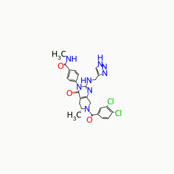 CNC(=O)c1ccc(-n2c(NCc3c[nH]nn3)nc3c(c2=O)C[C@@H](C)N(C(=O)c2ccc(Cl)c(Cl)c2)C3)cc1